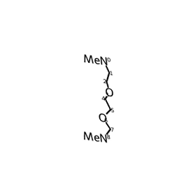 CNCCOCCOCNC